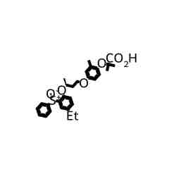 CCc1ccc(O[C@@H](C)CCOc2ccc(OC(C)(C)C(=O)O)c(C)c2)c([S@+]([O-])c2ccccc2)c1